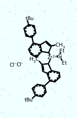 CC[Si](CC)=[Zr+2]([CH]1C(C)=Cc2c(-c3ccc(C(C)(C)C)cc3)cccc21)[CH]1C(C)=Cc2c(-c3ccc(C(C)(C)C)cc3)cccc21.[Cl-].[Cl-]